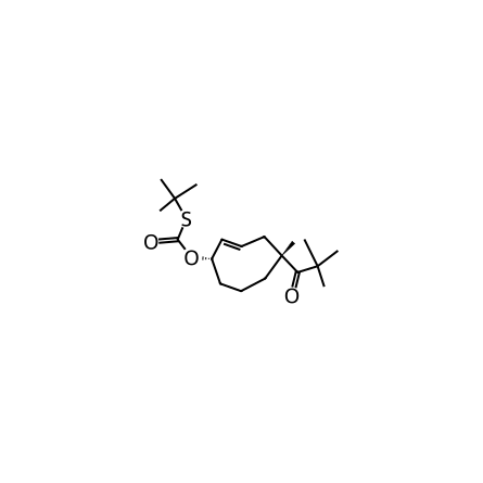 CC(C)(C)SC(=O)O[C@@H]1/C=C/C[C@](C)(C(=O)C(C)(C)C)CCC1